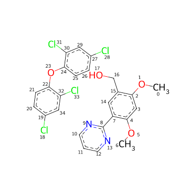 COc1cc(OC)c(-c2ncccn2)cc1CO.Clc1ccc(Oc2ccc(Cl)cc2Cl)c(Cl)c1